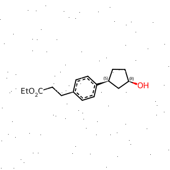 CCOC(=O)CCc1ccc([C@H]2CC[C@@H](O)C2)cc1